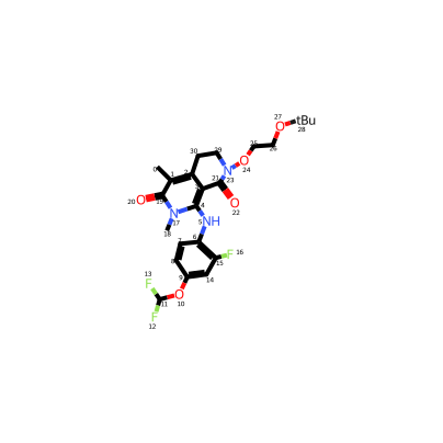 Cc1c2c(c(Nc3ccc(OC(F)F)cc3F)n(C)c1=O)C(=O)N(OCCOC(C)(C)C)CC2